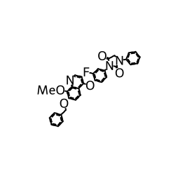 COc1c(OCc2ccccc2)ccc2c(Oc3ccc(N4C(=O)CN(c5ccccc5)C4=O)cc3F)ccnc12